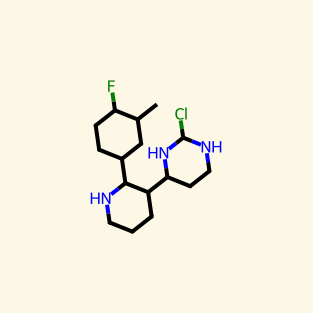 CC1CC(C2NCCCC2C2CCNC(Cl)N2)CCC1F